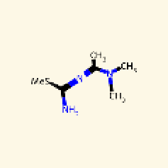 CSC(N)=[N+]=C(C)N(C)C